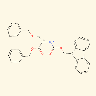 O=C(N[C@@H](COCc1ccccc1)C(=O)OCc1ccccc1)OCC1c2ccccc2-c2ccccc21